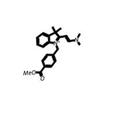 COC(=O)c1ccc(C[N+]2=C(C=CN(C)C)C(C)(C)c3ccccc32)cc1